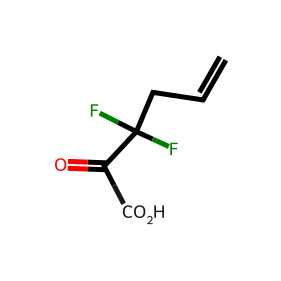 C=CCC(F)(F)C(=O)C(=O)O